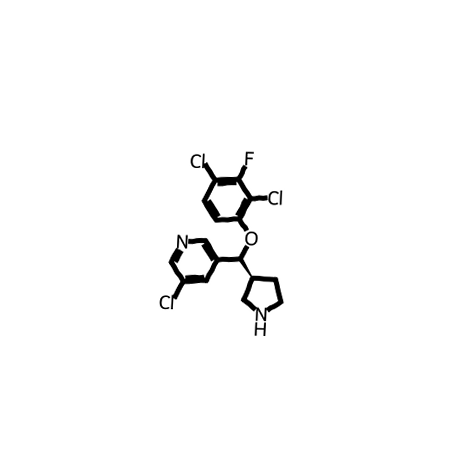 Fc1c(Cl)ccc(OC(c2cncc(Cl)c2)[C@H]2CCNC2)c1Cl